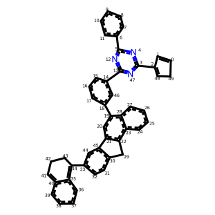 C1=CC(c2nc(-c3ccccc3)nc(-c3cccc(-c4cc5c(c6ccccc46)Cc4ccc(C6=c7ccccc7=CCC6)cc4-5)c3)n2)=CC1